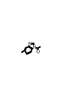 CC(=O)n1cnc2cc(C)ccc21